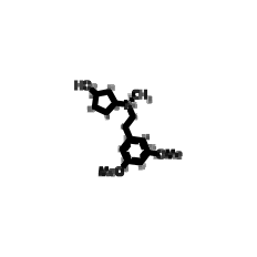 COc1cc(CCN(C)C2CCC(O)C2)cc(OC)c1